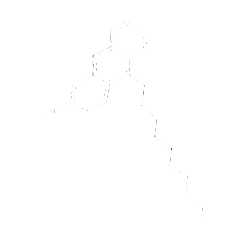 CCCCCCCCCCc1c2ccccc2cc2cc(N)ccc12